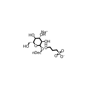 CCCCCCCCCCOC1O[C@H](CO)[C@@H](O)[C@H](O)[C@H]1O.O=S(=O)([O-])CCCO.[Na+]